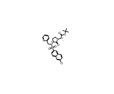 C[C@@H](C(=O)OC(C)(C)C)N1CC[C@H](N(Cc2ccccn2)S(=O)(=O)c2ccc3cc(Cl)ccc3c2)C1=O